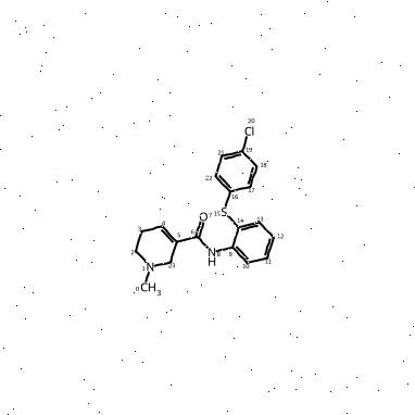 CN1CCC=C(C(=O)Nc2ccccc2Sc2ccc(Cl)cc2)C1